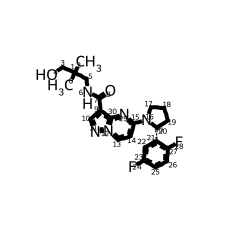 CC(C)(CO)CNC(=O)c1cnn2ccc(N3CCC[C@@H]3c3cc(F)ccc3F)nc12